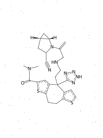 C=C(CNCCC1(c2nn[nH]n2)c2ccsc2CCc2sc(C(=O)N(C)C)cc21)N1C(C#N)C[C@@H]2C[C@@H]21